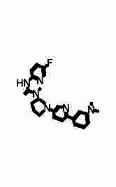 C=C(Nc1ccc(F)cn1)N(C)[C@H]1CCCN(c2ccc(-c3cccc(N(C)C)c3)nc2)C1